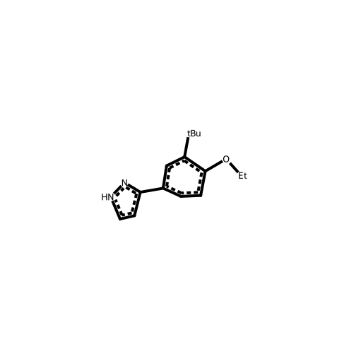 CCOc1ccc(-c2cc[nH]n2)cc1C(C)(C)C